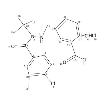 CNN(C(=O)c1ccc(Cl)c(C)c1)C(C)(C)C.Cl.Cl.O=C(Cl)c1ccccc1